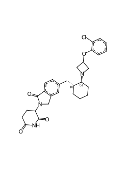 O=C1CCC(N2Cc3cc(C[C@H]4CCCC[C@@H]4N4CC(Oc5ccccc5Cl)C4)ccc3C2=O)C(=O)N1